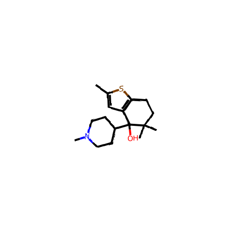 Cc1cc2c(s1)CCC(C)(C)C2(O)C1CCN(C)CC1